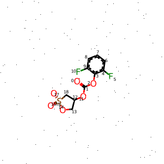 O=C(Oc1c(F)cccc1F)OC1COS(=O)(=O)C1